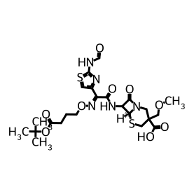 COCC1(C(=O)O)CS[C@@H]2C(NC(=O)C(=NOCCCC(=O)OC(C)(C)C)c3csc(NC=O)n3)C(=O)N2C1